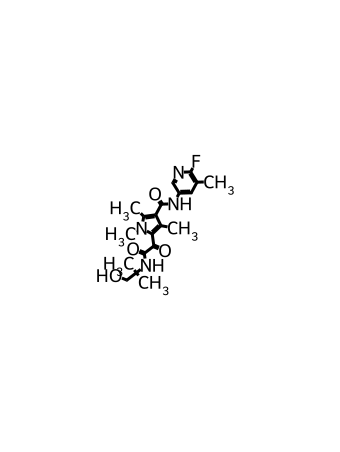 Cc1cc(NC(=O)c2c(C)c(C(=O)C(=O)NC(C)(C)CO)n(C)c2C)cnc1F